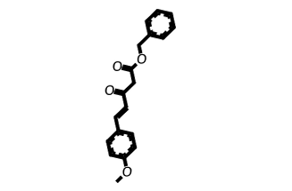 COc1ccc(C=CC(=O)CC(=O)OCc2ccccc2)cc1